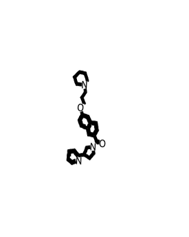 O=C(c1ccc2cc(OCCCN3CCCCC3)ccc2c1)N1CCC(c2ccccn2)C1